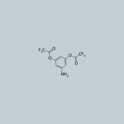 Nc1cc(OC(=O)C(F)(F)F)cc(OC(=O)C(F)(F)F)c1